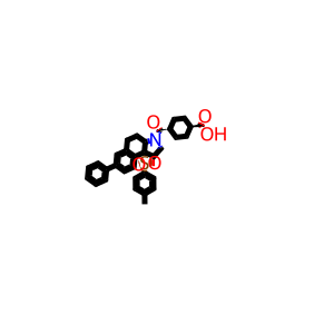 Cc1ccc(S(=O)(=O)C23CCN(C(=O)[C@H]4CC[C@H](C(=O)O)CC4)C2CCc2cc(-c4ccccc4)ccc23)cc1